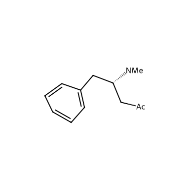 CN[C@H](CC(C)=O)Cc1ccccc1